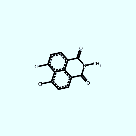 CN1C(=O)c2ccc(Cl)c3c(Cl)ccc(c23)C1=O